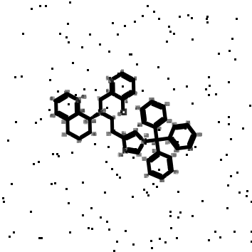 Clc1cccnc1CN(CCc1cn(C(c2ccccc2)(c2ccccc2)c2ccccc2)cn1)[C@H]1CCCc2cccnc21